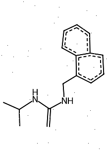 C=C(NCc1cccc2ccccc12)NC(C)C